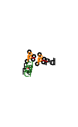 [Cl][Fe][Cl].[Cl][Fe][Cl].[Pd].[Pd].c1ccc(P(CP(c2ccccc2)c2ccccc2)c2ccccc2)cc1.c1ccc(P(CP(c2ccccc2)c2ccccc2)c2ccccc2)cc1